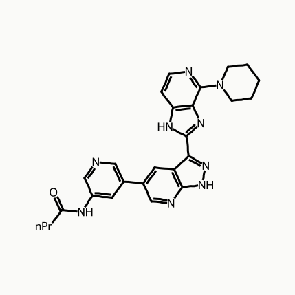 CCCC(=O)Nc1cncc(-c2cnc3[nH]nc(-c4nc5c(N6CCCCC6)nccc5[nH]4)c3c2)c1